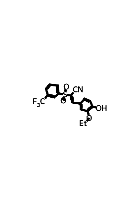 CCOc1cc(/C=C(\C#N)S(=O)(=O)c2cccc(C(F)(F)F)c2)ccc1O